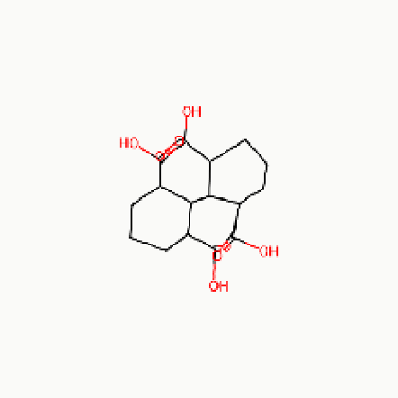 O=C(O)C1CCCC(C(=O)O)C1C1C(C(=O)O)CCCC1C(=O)O